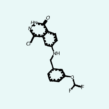 O=c1[nH]nc(Cl)c2cc(NCc3cccc(OC(F)F)c3)ccc12